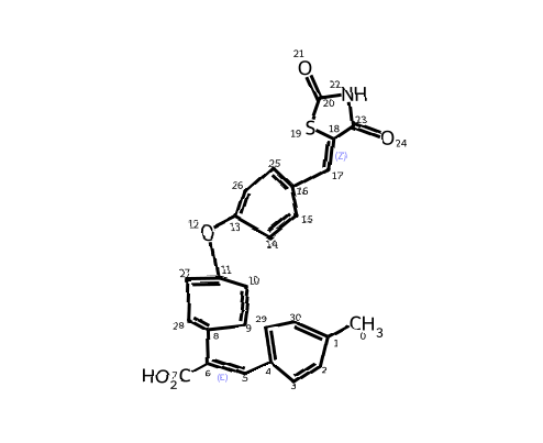 Cc1ccc(/C=C(/C(=O)O)c2ccc(Oc3ccc(/C=C4\SC(=O)NC4=O)cc3)cc2)cc1